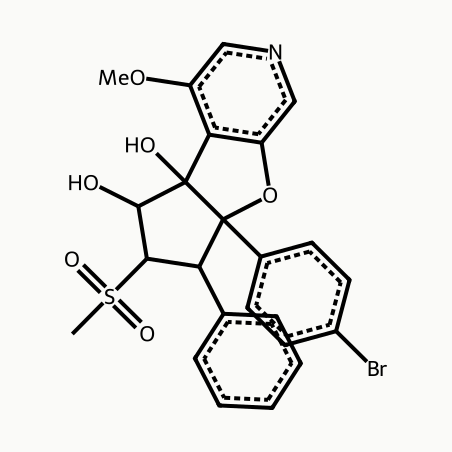 COc1cncc2c1C1(O)C(O)C(S(C)(=O)=O)C(c3ccccc3)C1(c1ccc(Br)cc1)O2